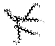 CCCCCCCCCC(CCCCCCC)C(=O)OCCC1(CCOC(=O)C(CCCCCCC)CCCCCCCCC)CCN(CCCCOC)CC1